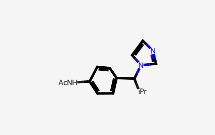 CC(=O)Nc1ccc(C(C(C)C)n2ccnc2)cc1